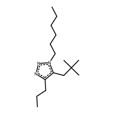 CCCCCCn1nnc(CCC)c1CC(C)(C)C